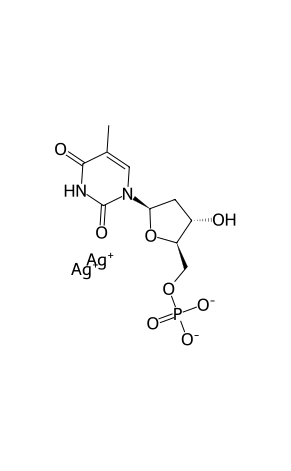 Cc1cn([C@H]2C[C@H](O)[C@@H](COP(=O)([O-])[O-])O2)c(=O)[nH]c1=O.[Ag+].[Ag+]